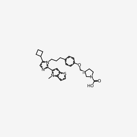 Cn1c(-c2ncc(C3CCC3)n2CCCc2ccc(OC[C@H]3CCN(C(=O)O)C3)cc2)cc2sccc21